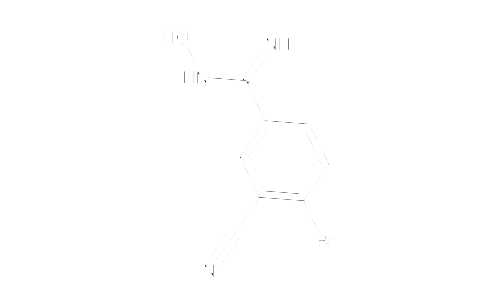 N#Cc1cc(C(=N)NO)ccc1Br